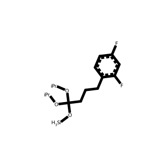 CC(C)OC(CCCc1ccc(F)cc1F)(O[SiH3])OC(C)C